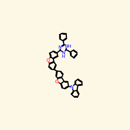 c1ccc(C2=NC(c3ccc4oc5ccc(-c6ccc7c(c6)oc6ccc(-n8c9ccccc9c9ccccc98)cc67)cc5c4c3)NC(c3ccccc3)N2)cc1